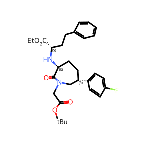 CCOC(=O)[C@H](CCc1ccccc1)N[C@H]1CC[C@H](c2ccc(F)cc2)CN(CC(=O)OC(C)(C)C)C1=O